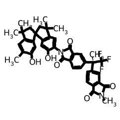 Cc1cc2c(cc1O)C1(CC2(C)C)CC(C)(C)c2cc(N3C(=O)c4ccc([C@](C)(c5ccc6c(c5)C(=O)N(C)C6=O)C(F)(F)F)cc4C3=O)c(O)cc21